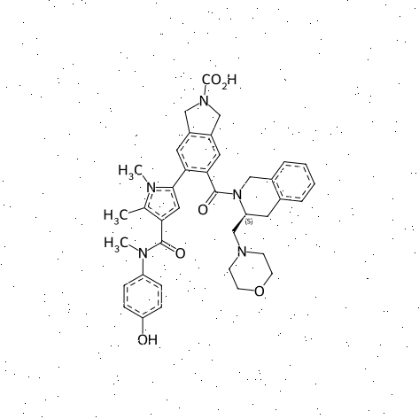 Cc1c(C(=O)N(C)c2ccc(O)cc2)cc(-c2cc3c(cc2C(=O)N2Cc4ccccc4C[C@H]2CN2CCOCC2)CN(C(=O)O)C3)n1C